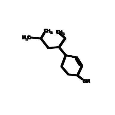 CCC(CC(C)C)C1C=CC(O)CC1